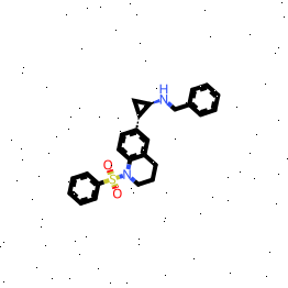 O=S(=O)(c1ccccc1)N1CCCc2cc([C@@H]3C[C@H]3NCc3ccccc3)ccc21